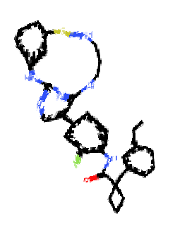 CCc1cccc(C2(C(=O)Nc3ccc(-c4cnc5nc4NCCCNSc4cccc(c4)N5)cc3F)CCC2)c1